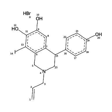 Br.C=CCN1Cc2c(cc(O)c(O)c2I)C(c2ccc(O)cc2)C1